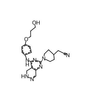 N#CCC1CCN(c2nc3c(c(Nc4ccc(OCCCO)cc4)n2)CNN=C3)CC1